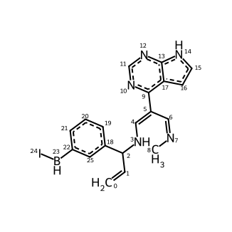 C=CC(N/C=C(\C=N/C)c1ncnc2[nH]ccc12)c1cccc(BI)c1